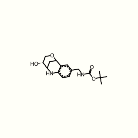 CC(C)(C)OC(=O)NCc1ccc2c(c1)C1CC(N2)[C@H](O)CO1